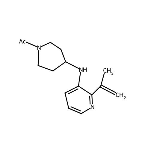 C=C(C)c1ncccc1NC1CCN(C(C)=O)CC1